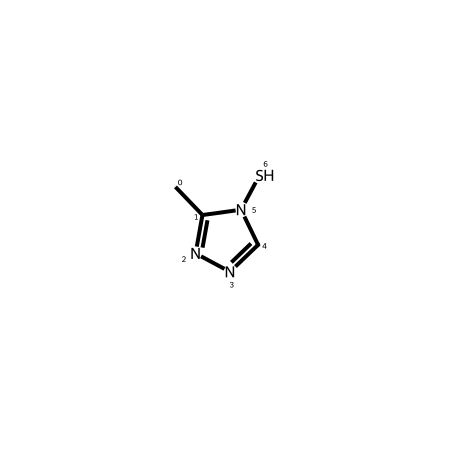 Cc1nncn1S